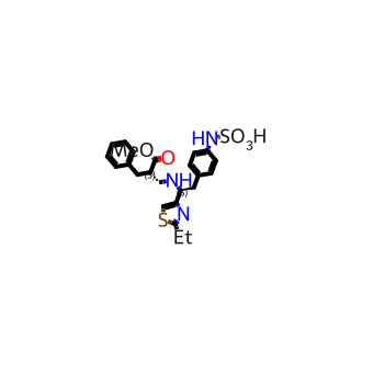 CCc1nc([C@H](Cc2ccc(NS(=O)(=O)O)cc2)NC[C@H](Cc2ccccc2)C(=O)OC)cs1